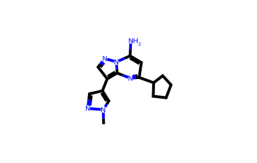 Cn1cc(-c2cnn3c(N)cc(C4CCCC4)nc23)cn1